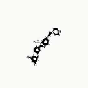 CCCCn1c(-c2cccc(Oc3cc(Cl)cc(Cl)c3)c2)nc2ccc(OCCN3CCNCC3)cc21